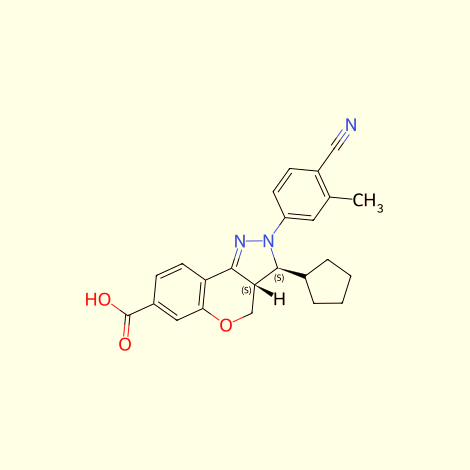 Cc1cc(N2N=C3c4ccc(C(=O)O)cc4OC[C@H]3[C@@H]2C2CCCC2)ccc1C#N